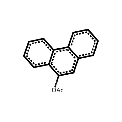 CC(=O)Oc1cc2ccccc2c2ccccc12